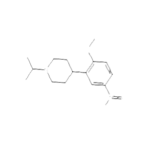 COc1ccc([N+](=O)[O-])cc1C1CCN(C(C)C)CC1